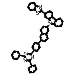 c1ccc(-c2nc(-c3ccccc3)nc(-c3ccc(-c4ccc5cc(-n6c7ccccc7c7ccc(-c8nc9ccccc9s8)cc76)ccc5c4)cc3)n2)cc1